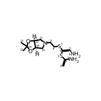 C=C(N)S/C(=C\N)SCCN1C[C@@H]2OC(C)(C)O[C@@H]2C1